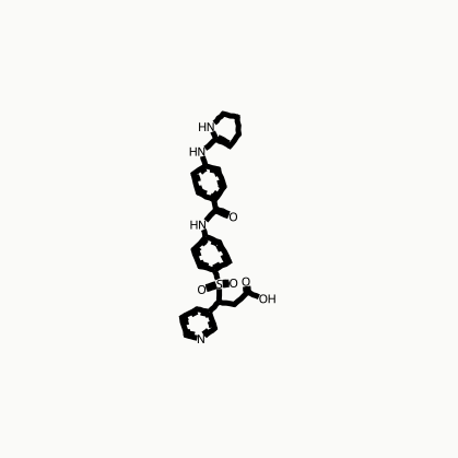 O=C(O)CC(c1cccnc1)S(=O)(=O)c1ccc(NC(=O)c2ccc(NC3=CCCCN3)cc2)cc1